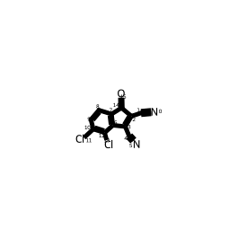 N#CC1=C(C#N)c2c(ccc(Cl)c2Cl)C1=O